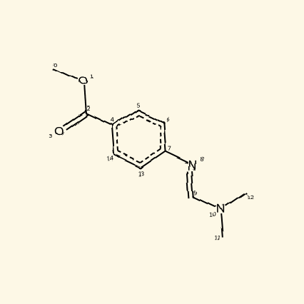 COC(=O)c1ccc(N=CN(C)C)cc1